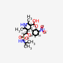 CC1=C(C(=O)O)[C@@H](c2cccc([N+](=O)[O-])c2)C(C(=O)CS(=O)(=O)NC(C)C)=C(C)N1